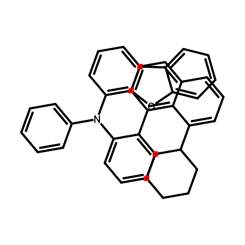 c1ccc(N(c2ccccc2-c2cccc3cccc(C4CCCCC4)c23)c2cccc3c2oc2ccccc23)cc1